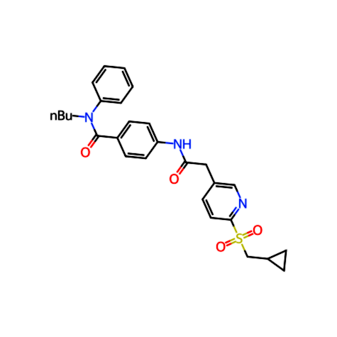 CCCCN(C(=O)c1ccc(NC(=O)Cc2ccc(S(=O)(=O)CC3CC3)nc2)cc1)c1ccccc1